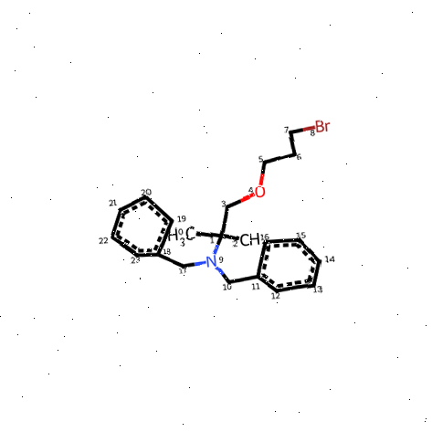 CC(C)(COCCCBr)N(Cc1ccccc1)Cc1ccccc1